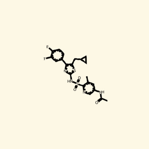 CC(=O)Nc1cnc(S(=O)(=O)Nc2nc(-c3ccc(F)c(F)c3)c(CC3CC3)s2)c(C)c1